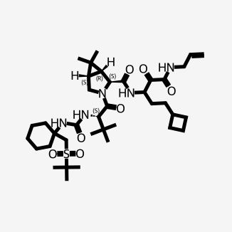 C=CCNC(=O)C(=O)C(CCC1CCC1)NC(=O)[C@@H]1[C@@H]2[C@H](CN1C(=O)[C@@H](NC(=O)NC1(CS(=O)(=O)C(C)(C)C)CCCCC1)C(C)(C)C)C2(C)C